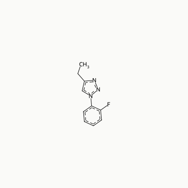 CCc1cn(-c2ccccc2F)nn1